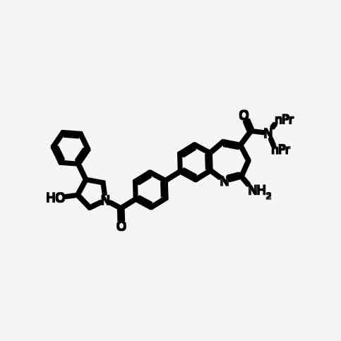 CCCN(CCC)C(=O)C1=Cc2ccc(-c3ccc(C(=O)N4CC(O)C(c5ccccc5)C4)cc3)cc2N=C(N)C1